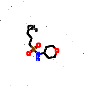 CCCCS(=O)(=O)NC1CCOCC1